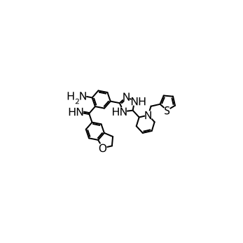 N=C(c1ccc2c(c1)CCO2)c1cc(C2=NNC(C3CC=CCN3Cc3cccs3)N2)ccc1N